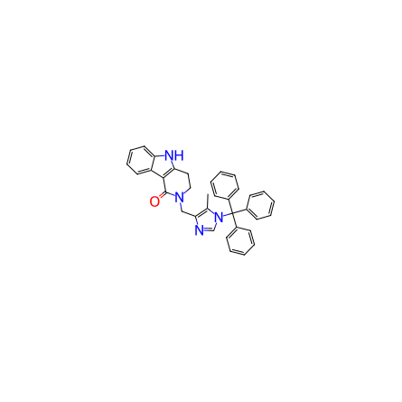 Cc1c(CN2CCc3[nH]c4ccccc4c3C2=O)ncn1C(c1ccccc1)(c1ccccc1)c1ccccc1